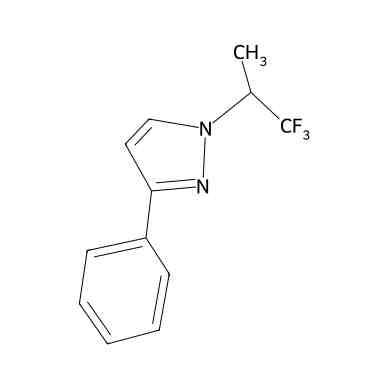 CC(n1ccc(-c2ccccc2)n1)C(F)(F)F